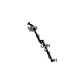 CNCCOCCOCCOCCNC(=O)Cc1ccc(SSCOCCCCNC(=O)NCC#CC(C)C)cc1